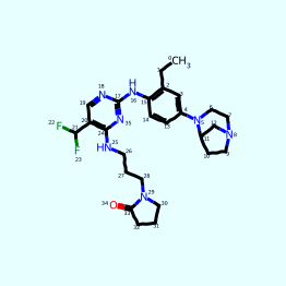 CCc1cc(N2CCN3CCC2C3)ccc1Nc1ncc(C(F)F)c(NCCCN2CCCC2=O)n1